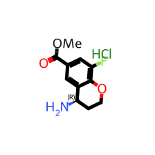 COC(=O)c1cc(F)c2c(c1)[C@H](N)CCO2.Cl